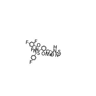 COc1c(OCC(=O)Nc2nccs2)cccc1C1SC(c2ccc(F)cc2)=NN1C(=O)c1c(F)cc(F)cc1F